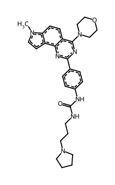 Cn1ccc2c3nc(-c4ccc(NC(=O)NCCCN5CCCC5)cc4)nc(N4CCOCC4)c3ccc21